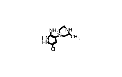 CC1CN(C2=C(N)NNC(Cl)=C2)CCN1